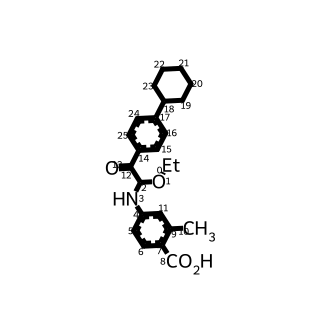 CCOC(Nc1ccc(C(=O)O)c(C)c1)C(=O)c1ccc(C2CCCCC2)cc1